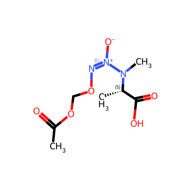 CC(=O)OCO/N=[N+](/[O-])N(C)[C@@H](C)C(=O)O